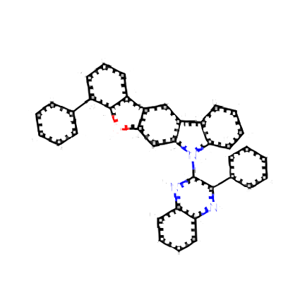 c1ccc(-c2nc3ccccc3nc2-n2c3ccccc3c3cc4c(cc32)oc2c(-c3ccccc3)cccc24)cc1